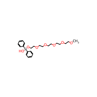 COCCOCCOCCOCCOCCO[Si](O)(c1ccccc1)c1ccccc1